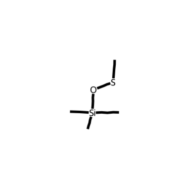 CSO[Si](C)(C)C